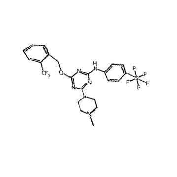 CN1CCN(c2nc(Nc3ccc(S(F)(F)(F)(F)F)cc3)nc(OCc3ccccc3C(F)(F)F)n2)CC1